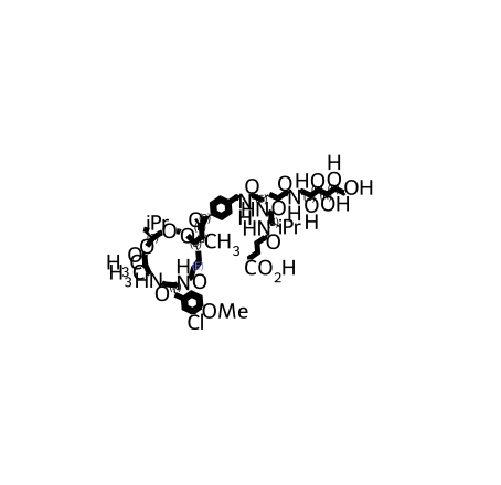 COc1ccc(C[C@H]2NC(=O)/C=C/C[C@@H]([C@H](C)[C@H]3O[C@@H]3c3ccc(CNC(=O)[C@H](CCC(=O)NC[C@H](O)[C@@H](O)[C@H](O)[C@H](O)CO)NC(=O)[C@@H](NC(=O)CCCC(=O)O)C(C)C)cc3)OCOC[C@H](CC(C)C)OC(=O)C(C)(C)CNC2=O)cc1Cl